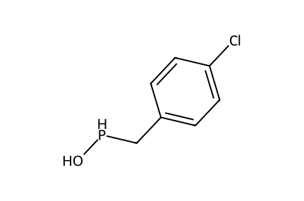 OPCc1ccc(Cl)cc1